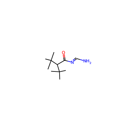 CC(C)(C)C(C(=O)N=CN)C(C)(C)C